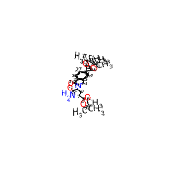 CC(C)(C)OC(=O)CCC(C(N)=O)N1Cc2cc(B3OC(C)(C)C(C)(C)O3)ccc2C1=O